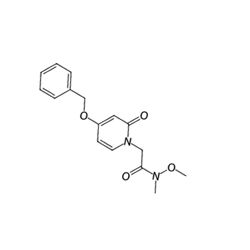 CON(C)C(=O)Cn1ccc(OCc2ccccc2)cc1=O